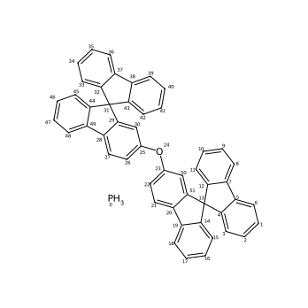 P.c1ccc2c(c1)-c1ccccc1C21c2ccccc2-c2ccc(Oc3ccc4c(c3)C3(c5ccccc5-c5ccccc53)c3ccccc3-4)cc21